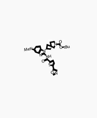 CNc1ccc2c(c1)nc(NC(=O)c1ccc(-c3cnco3)s1)n2[C@H]1C[C@@]2(CCN(C(=O)OC(C)(C)C)C2)C1